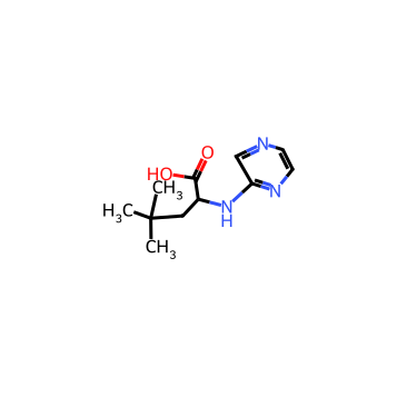 CC(C)(C)CC(Nc1cnccn1)C(=O)O